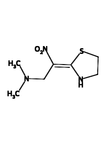 CN(C)CC(=C1NCCS1)[N+](=O)[O-]